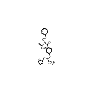 COC(=O)N(OCc1ccccc1)C(=O)c1ccc(CN(Cc2cccs2)C(=O)O)cc1